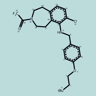 CC(C)(C)CCOc1ccc(CNc2c(Cl)ccc3c2CCN(C(=O)C(F)(F)F)CC3)cc1